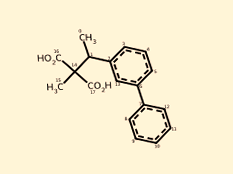 CC(c1cccc(-c2ccccc2)c1)C(C)(C(=O)O)C(=O)O